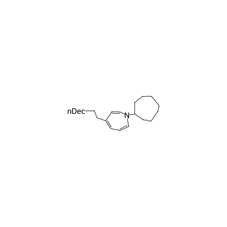 CCCCCCCCCCCCC1=CC=CN(C2CCCCCCC2)C=C1